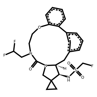 O=C1N(CC(F)F)CCOc2ccccc2-c2cccc(c2)C[C@H]2[C@@H](NS(=O)(=O)CF)C3(CC3)CN12